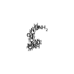 Nc1ccc(CN2CCC(F)(C(=O)N3CCC(N4c5ncccc5NC4c4ccccn4)CC3)CC2)o1